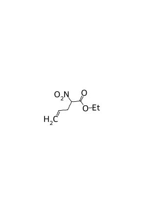 C=CCC(C(=O)OCC)[N+](=O)[O-]